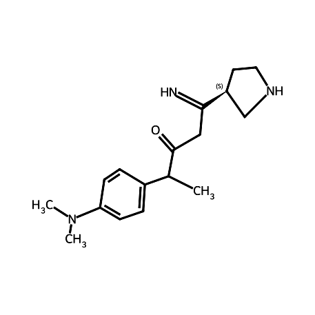 CC(C(=O)CC(=N)[C@H]1CCNC1)c1ccc(N(C)C)cc1